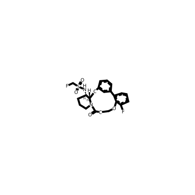 O=C1CCOc2c(F)cccc2-c2cccc(c2)C[C@H]2[C@@H](NS(=O)(=O)CF)CCCN12